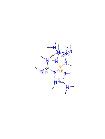 C/N=C(\N(C)C)N(C)[PH](N(C)/C(=N/C)N(C)C)(N(C)/C(=N/C)N(C)C)N(C)/C(=N/C)N(C)C